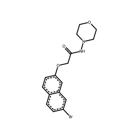 O=C(COc1ccc2ccc(Br)cc2c1)NN1CCOCC1